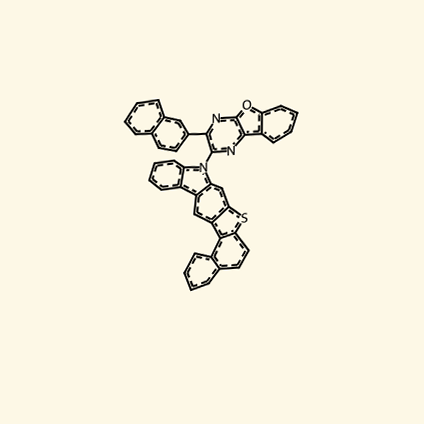 c1ccc2cc(-c3nc4oc5ccccc5c4nc3-n3c4ccccc4c4cc5c(cc43)sc3ccc4ccccc4c35)ccc2c1